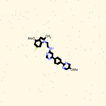 COc1cnc(-c2ccc(-c3cc(NCCn4c(C)cc5c(OC)cc(F)cc54)ncn3)cc2)nc1